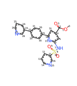 COC(=O)c1cc(NS(=O)(=O)c2cccnc2)nc(-c2ccc(-c3cccnc3)cc2)c1